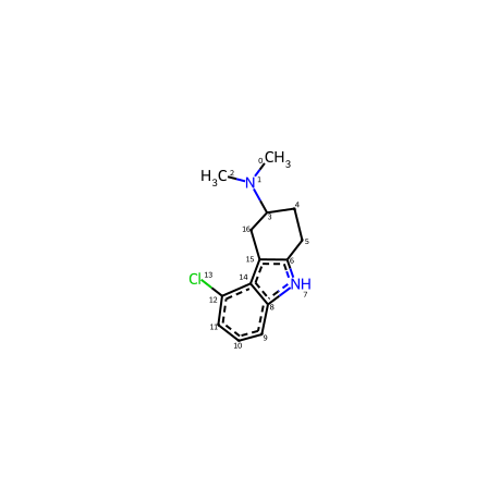 CN(C)C1CCc2[nH]c3cccc(Cl)c3c2C1